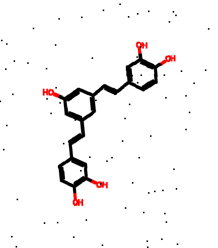 Oc1cc(/C=C/c2ccc(O)c(O)c2)cc(/C=C/c2ccc(O)c(O)c2)c1